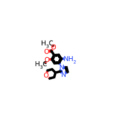 COC(=O)c1cc(N)c(-n2ccnc2C2CCOCC2)cc1OC